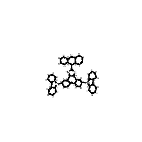 c1ccc2c(-c3nc4c5cc(-n6c7ccccc7c7ccccc76)ccc5c5ccc(-n6c7ccccc7c7ccccc76)cc5c4o3)c3ccccc3cc2c1